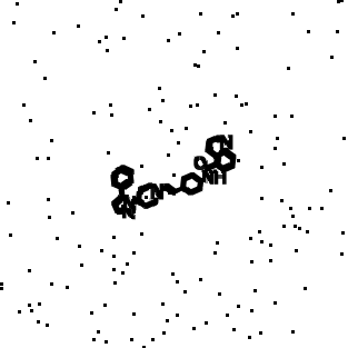 O=C(N[C@H]1CC[C@H](CCN2CCC(n3nccc3-c3ccccc3)CC2)CC1)c1cccc2ncccc12